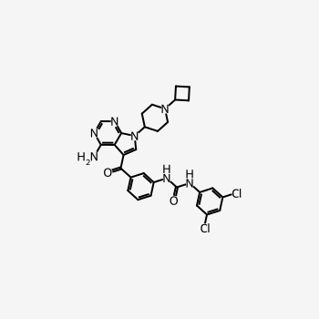 Nc1ncnc2c1c(C(=O)c1cccc(NC(=O)Nc3cc(Cl)cc(Cl)c3)c1)cn2C1CCN(C2CCC2)CC1